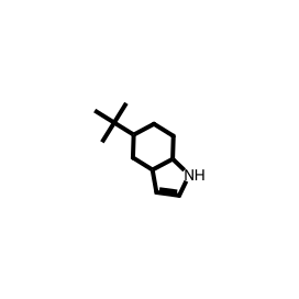 CC(C)(C)C1CCC2NC=CC2C1